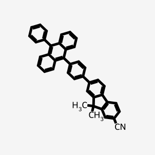 CC1(C)c2cc(C#N)ccc2-c2ccc(-c3ccc(-c4c5ccccc5c(-c5ccccc5)c5ccccc45)cc3)cc21